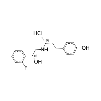 C[C@H](CCc1ccc(O)cc1)NC[C@H](O)c1ccccc1F.Cl